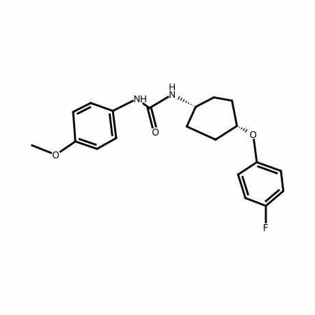 COc1ccc(NC(=O)N[C@H]2CC[C@@H](Oc3ccc(F)cc3)CC2)cc1